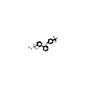 CS(=N)(=O)c1cccc(-c2ccccc2Sc2ccc(C(F)(F)F)cc2)c1